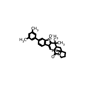 Cc1cc(C)cc(-c2ccc3c(c2)[N+]([O-])=C2C3=C[C@@]34NC(=O)C5(CCCN5C3=O)CC4C2(C)C)c1